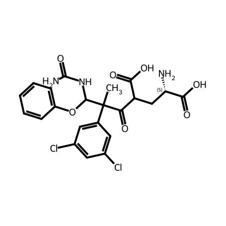 CC(C(=O)C(C[C@H](N)C(=O)O)C(=O)O)(c1cc(Cl)cc(Cl)c1)C(NC(N)=O)Oc1ccccc1